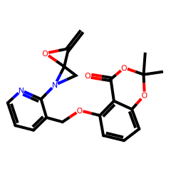 C=C1OC12CN2c1ncccc1COc1cccc2c1C(=O)OC(C)(C)O2